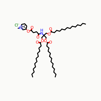 CCCCCCCCCCCCCC(=O)OCC(COC(=O)CCCCCCCCCCCCC)(COC(=O)CCCCCCCCCCCCC)NC(=O)CCC(=O)OC1C[N+]2(C)CCC1CC2.[Cl-]